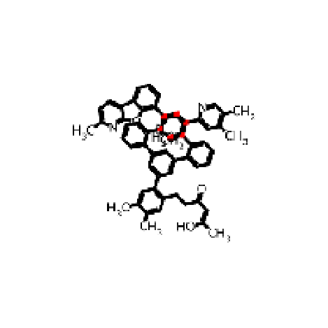 C=C(/C=C\C(=C/C)c1cc(C)c(C)cn1)c1ccccc1-c1cc(-c2cc(C)c(C)cc2CCC(=O)/C=C(/C)O)cc(-c2ccccc2-c2ccc(-c3cccc4c3oc3nc(C)ccc34)nc2)c1